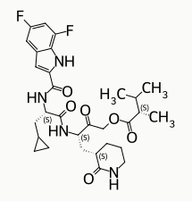 CC(C)[C@H](C)C(=O)OCC(=O)[C@H](C[C@@H]1CCCNC1=O)NC(=O)[C@H](CC1CC1)NC(=O)c1cc2cc(F)cc(F)c2[nH]1